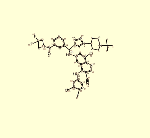 CC(C)(C)N1CCC(n2cc([C@@H](Nc3cc(Cl)c4ncc(C#N)c(Nc5ccc(F)c(Cl)c5)c4c3)c3cccc(C(=O)N4CC(F)(F)C4)c3)nn2)CC1